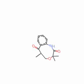 CC1COC(C)(C)C(=O)Nc2ccccc2C1=O